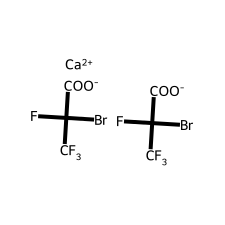 O=C([O-])C(F)(Br)C(F)(F)F.O=C([O-])C(F)(Br)C(F)(F)F.[Ca+2]